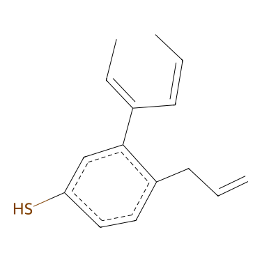 C=CCc1ccc(S)cc1C(/C=C\C)=C/C